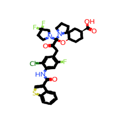 O=C(Nc1cc(F)c(CC(=O)C(O[C@H]2CC[C@H](C(=O)O)CC2)(N2CCCC2)N2CCC(F)(F)C2)cc1Cl)c1csc2ccccc12